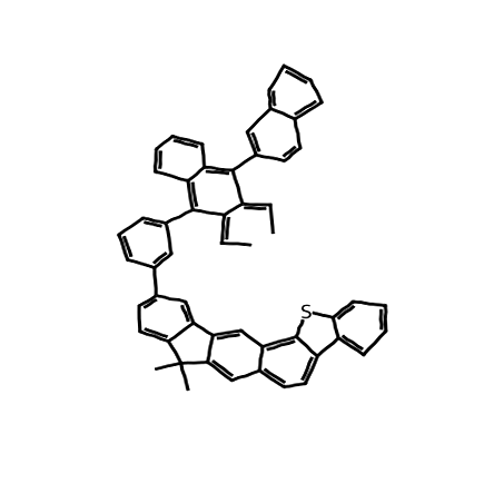 C/C=c1/c(-c2cccc(-c3ccc4c(c3)-c3cc5c(ccc6c7ccccc7sc56)cc3C4(C)C)c2)c2ccccc2c(-c2ccc3ccccc3c2)/c1=C/C